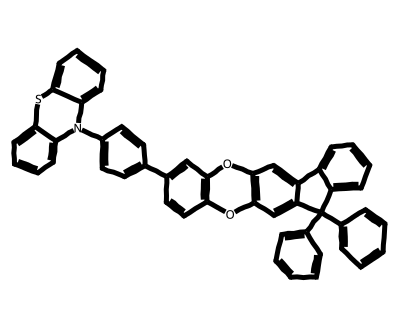 c1ccc(C2(c3ccccc3)c3ccccc3-c3cc4c(cc32)Oc2ccc(-c3ccc(N5c6ccccc6Sc6ccccc65)cc3)cc2O4)cc1